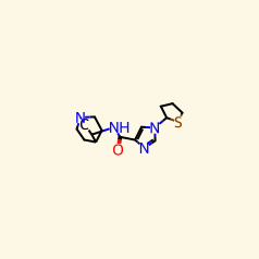 O=C(NC1CN2CCC1CC2)c1cn(C2CCCS2)cn1